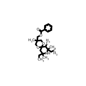 CCC1(C)CC2(OCC(C)(COC(=O)c3ccccc3)CO2)C(C)C(C)(CC)N1